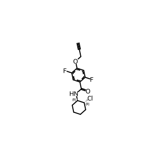 C#CCOc1cc(F)c(C(=O)N[C@@H]2CCCC[C@H]2Cl)cc1F